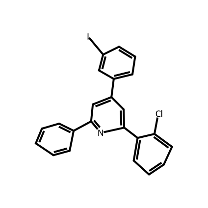 Clc1ccccc1-c1cc(-c2cccc(I)c2)cc(-c2ccccc2)n1